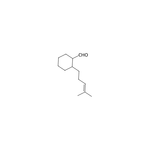 CC(C)=CCCC1CCCCC1C=O